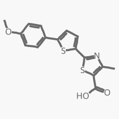 COc1ccc(-c2ccc(-c3nc(C)c(C(=O)O)s3)s2)cc1